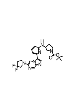 CC(C)(C)OC(=O)N1CCC(Nc2cccc(-c3cnc4cnc(N5CCC(F)(F)C5)cn34)n2)C1